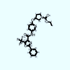 CCOC(=O)N1CCC(Oc2ccc(NC(=O)c3nc(-c4ccccc4)oc3C(F)(F)F)cn2)C1